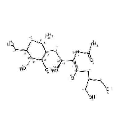 CC(=O)N/C(=C(/O)CC(CO)CO)[C@@H](O)OC1C(O)[C@H](O)C(CO)O[C@@H]1C